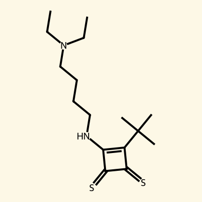 CCN(CC)CCCCNc1c(C(C)(C)C)c(=S)c1=S